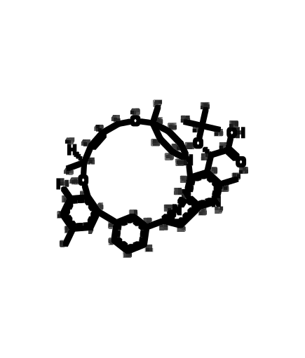 Cc1cc(F)c2c(c1)-c1cccc(c1)-c1cc3nc(C)c([C@H](OC(C)(C)C)C(=O)O)c(n3n1)N1CCC(C)(CC1)OCC=C[C@H](C)O2